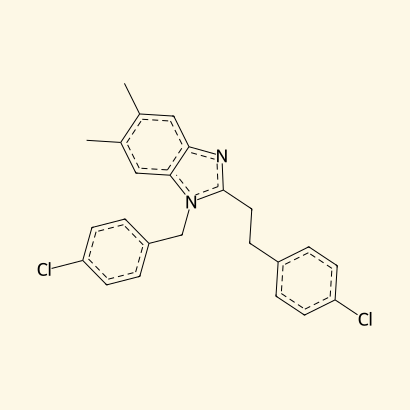 Cc1cc2nc(CCc3ccc(Cl)cc3)n(Cc3ccc(Cl)cc3)c2cc1C